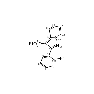 CCOC(=O)c1c(-c2ccccc2F)nn2ccccc12